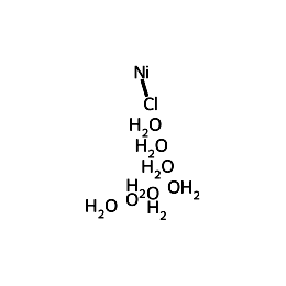 O.O.O.O.O.O.O.[Cl][Ni]